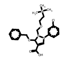 C[Si](C)(C)CCOCN1C(OCc2ccccc2)C(C(=O)O)=CN1c1cccc(Cl)c1